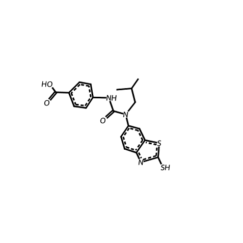 CC(C)CN(C(=O)Nc1ccc(C(=O)O)cc1)c1ccc2nc(S)sc2c1